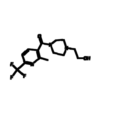 Cc1nc(C(F)(F)F)ccc1C(=O)N1CCN(CCO)CC1